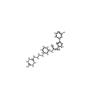 Cc1cc(-c2csc(NC(=O)Cc3cccc(CCCCN4CCN(C)CC4)c3)n2)ccn1